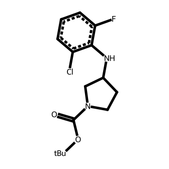 CC(C)(C)OC(=O)N1CCC(Nc2c(F)cccc2Cl)C1